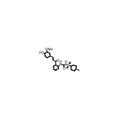 COc1cc(/C=C/C(=O)c2ccccc2NC(=O)NS(=O)(=O)c2ccc(C)cc2)ccc1O